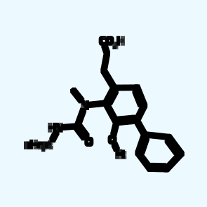 CCCCCCCNC(=O)N(C)c1c(CCC(=O)O)ccc(-c2ccccc2)c1OCC